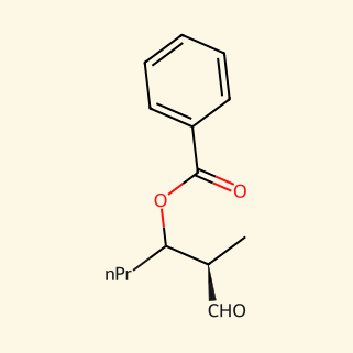 CCCC(OC(=O)c1ccccc1)[C@@H](C)C=O